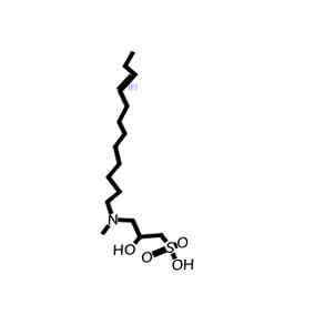 CC/C=C/CCCCCCCCN(C)CC(O)CS(=O)(=O)O